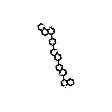 c1cnc2c(c1)ccc1c(-c3ccc(-c4ccc5cc(-c6ccc7nc(-c8ccnc9ccccc89)ccc7c6)ccc5n4)cc3)ccnc12